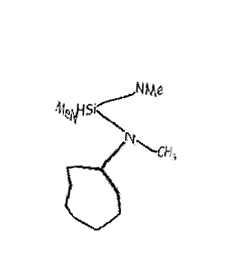 CN[SiH](NC)N(C)C1CCCC1